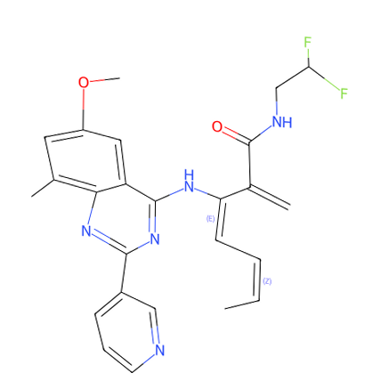 C=C(C(=O)NCC(F)F)/C(=C\C=C/C)Nc1nc(-c2cccnc2)nc2c(C)cc(OC)cc12